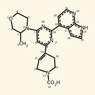 CC1COCCN1c1cc(C2=CCN(C(=O)O)CC2)nc(-c2ccnc3[nH]ccc23)n1